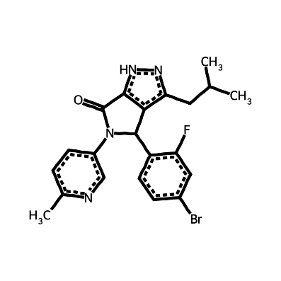 Cc1ccc(N2C(=O)c3[nH]nc(CC(C)C)c3C2c2ccc(Br)cc2F)cn1